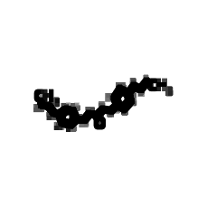 CCCCc1ccc(CCC(=O)CCc2ccc(CCCC)cc2)cc1